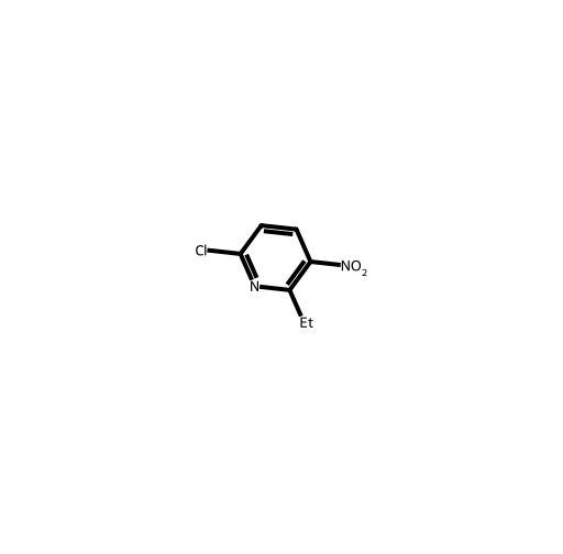 CCc1nc(Cl)ccc1[N+](=O)[O-]